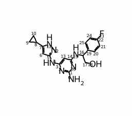 Nc1nc(Nc2cc(C3CC3)[nH]n2)cc(NC(CO)c2ccc(F)cc2)n1